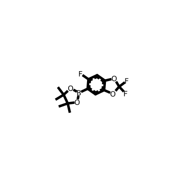 CC1(C)OB(c2cc3c(cc2F)OC(F)(F)O3)OC1(C)C